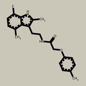 Cc1ccc(OCC(=O)NCCc2c(C)[nH]c3c(F)ccc(C)c23)cc1